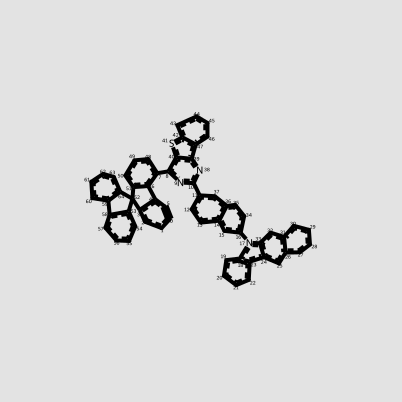 c1ccc2c(c#1)-c1c(-c3nc(-c4ccc5cc(-n6c7ccccc7c7cc8ccccc8cc76)ccc5c4)nc4c3sc3ccccc34)cccc1C21c2ccccc2-c2ccccc21